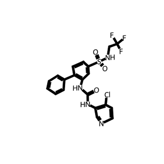 O=C(Nc1cnccc1Cl)Nc1cc(S(=O)(=O)NCC(F)(F)F)ccc1-c1ccccc1